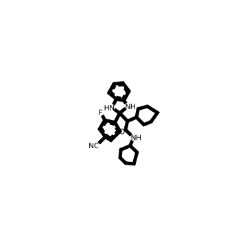 N#Cc1ccc(C2(C(C(=O)NC3CCCCC3)C3CCCCC3)Nc3ccccc3N2)c(F)c1